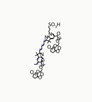 C=C1N=C(/C=C/C=C/C=C2/N=C3C(=CC(C(=O)N(C)OCC(=O)ON4C(=O)CCC4=O)=CN3CCCS(=O)(=O)O)C2(C)C)C(C)(C)/C1=C/C(=C\C)C(=O)N(C)OCC(=O)ON1C(=O)CCC1=O